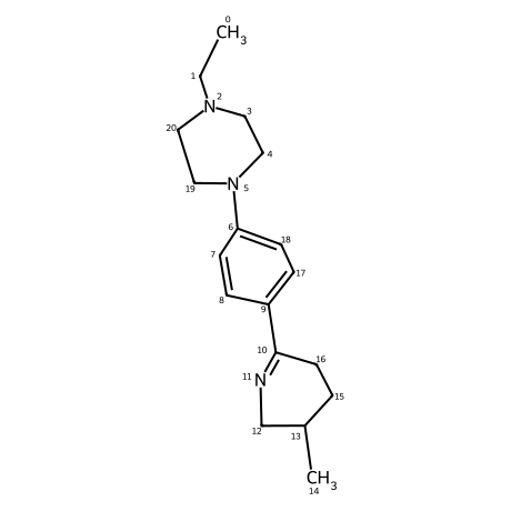 CCN1CCN(c2ccc(C3=NCC(C)CC3)cc2)CC1